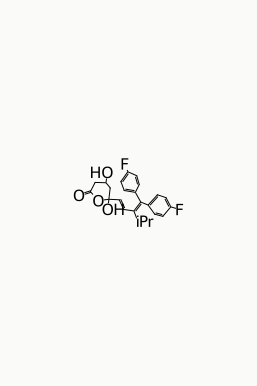 CC(C)C(C=CC1(O)CC(O)CC(=O)O1)=C(c1ccc(F)cc1)c1ccc(F)cc1